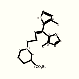 CCOC(=O)C1CCCN(CCC=C(c2sccc2C)c2sccc2C)C1